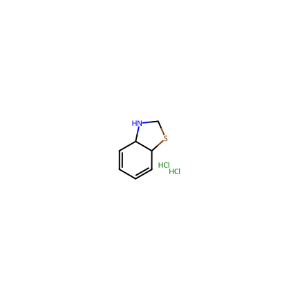 C1=CC2NCSC2C=C1.Cl.Cl